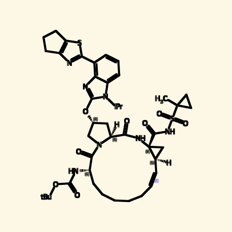 CC(C)n1c(O[C@@H]2C[C@H]3C(=O)N[C@]4(C(=O)NS(=O)(=O)C5(C)CC5)C[C@H]4/C=C\CCCCC[C@H](NC(=O)OC(C)(C)C)C(=O)N3C2)nc2c(-c3nc4c(s3)CCC4)cccc21